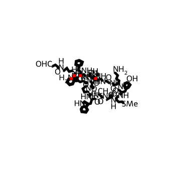 CSCCC(NC(=O)CNC(=O)C(C)NC(=O)C(Cc1c[nH]c2ccccc12)NC(=O)[C@H]1CCCN1C(=O)[C@@H](Cc1cnc[nH]1)NC(=O)C(Cc1c[nH]c2ccccc12)NC(=O)C(N)Cc1ccccc1)C(=O)NC(Cc1ccc(O)cc1)C(=O)NC(CCCCN)C(=O)NCC(=O)NCC(=O)NCC(=O)NCC(=O)N[C@H](CCCCNC(=O)CCC=O)C(N)=O